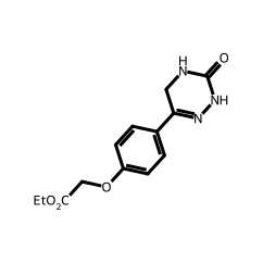 CCOC(=O)COc1ccc(C2=NNC(=O)NC2)cc1